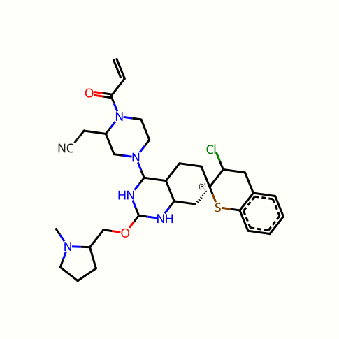 C=CC(=O)N1CCN(C2NC(OCC3CCCN3C)NC3C[C@@]4(CCC32)Sc2ccccc2CC4Cl)CC1CC#N